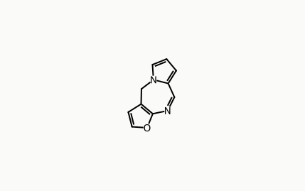 C1=Nc2occc2Cn2cccc21